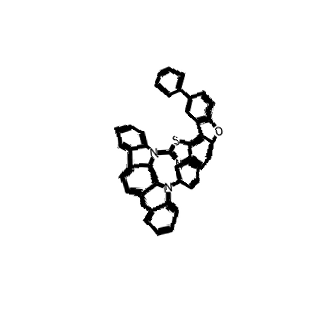 c1ccc(-c2ccc3oc4ccc5nc(-n6c7ccccc7c7ccc8c9ccccc9n(-c9ccccc9)c8c76)sc5c4c3c2)cc1